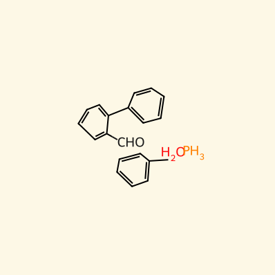 Cc1ccccc1.O.O=Cc1ccccc1-c1ccccc1.P